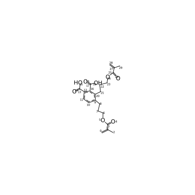 C=C(C)C(=O)OCCCc1ccc(C(=O)O)c(C(=O)O)c1CCCOC(=O)C(=C)C